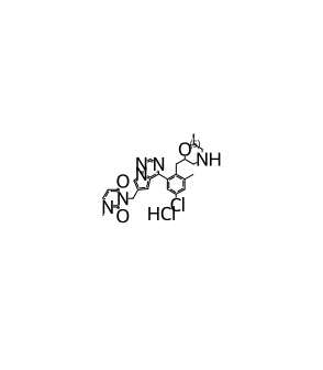 Cc1cc(Cl)cc(-c2ncnn3cc(Cn4c(=O)ccn(C)c4=O)cc23)c1CC1CNC[C@H](C)O1.Cl